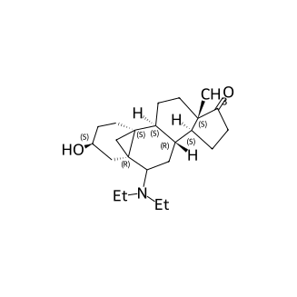 CCN(CC)C1C[C@@H]2[C@H](CC[C@]3(C)C(=O)CC[C@@H]23)[C@@]23CC[C@H](O)C[C@@]12C3